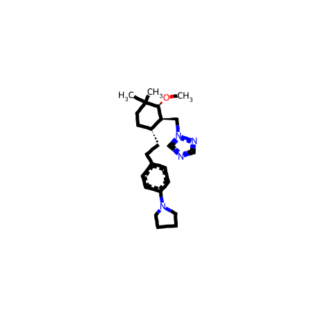 CO[C@@H]1[C@@H](Cn2cncn2)[C@H](CCc2ccc(N3CCCC3)cc2)CCC1(C)C